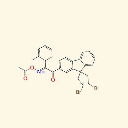 CC(=O)O/N=C(/C(=O)c1ccc2c(c1)C(CCBr)(CCBr)c1ccccc1-2)C1CC=CC=C1C